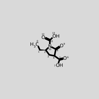 CC[C@@H]1CC(C(=O)O)C(=O)N1C(=O)O